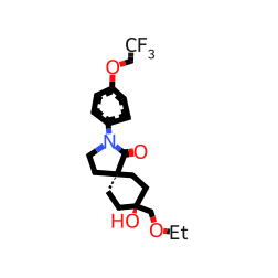 CCOC[C@]1(O)CC[C@@]2(CCN(c3ccc(OCC(F)(F)F)cc3)C2=O)CC1